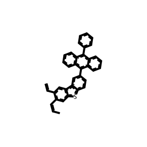 C=Cc1cc2c(cc1/C=C\C)sc1ccc(-c3c4ccccc4c(-c4ccccc4)c4ccccc34)cc12